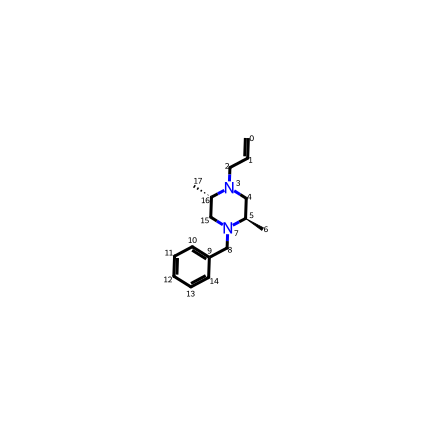 C=CCN1C[C@@H](C)N(Cc2ccccc2)C[C@@H]1C